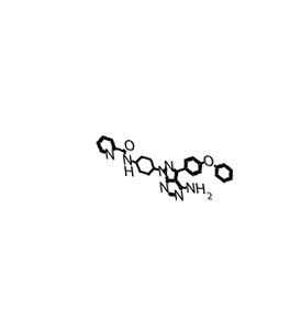 Nc1ncnc2c1c(-c1ccc(Oc3ccccc3)cc1)nn2C1CCC(NC(=O)c2ccccn2)CC1